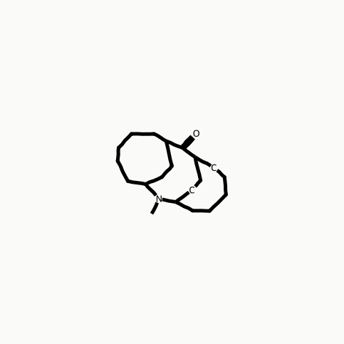 CN1C2CCCCCC(CC2)C(=O)C2CCCCCC1CC2